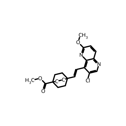 COC(=O)C12CCC(C=Cc3c(Cl)cnc4ccc(OC)nc34)(CC1)CC2